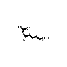 CCC(=O)O[C@@H](C)CCCCC=O